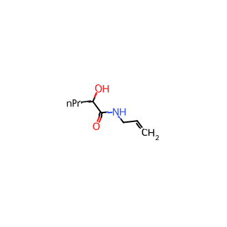 C=CCNC(=O)C(O)CCC